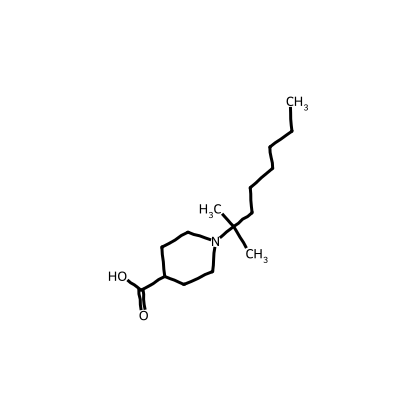 CCCCCCC(C)(C)N1CCC(C(=O)O)CC1